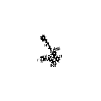 COc1c(OCCCNCCCc2ccccc2)cccc1C1OC(CC(=O)NCC2CCNCC2)C(=O)N(CC(C)(C)C)c2ccc(Cl)cc21.Cl.Cl